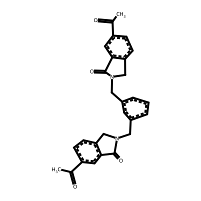 CC(=O)c1ccc2c(c1)C(=O)N(Cc1cccc(CN3Cc4ccc(C(C)=O)cc4C3=O)c1)C2